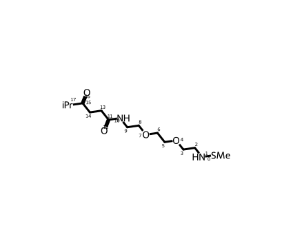 CSNCCOCCOCCNC(=O)CCC(=O)C(C)C